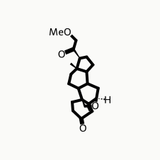 COCC(=O)[C@H]1CCC2C3C[C@H]4OC[C@@]5(CCC(=O)C=C45)C3CC[C@@]21C